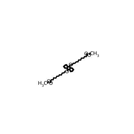 CCOC(=O)CCCCCCCCCCCOc1c2ccccc2c(OCCCCCCCCCCCC(=O)OCC)c2ccccc12